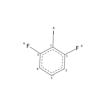 Fc1c[c]cc(F)c1I